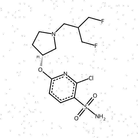 NS(=O)(=O)c1ccc(O[C@@H]2CCN(CC(CF)CF)C2)nc1Cl